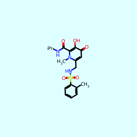 Cc1ccccc1S(=O)(=O)NCc1cc(=O)c(O)c(C(=O)NC(C)C)n1C